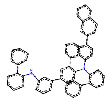 c1ccc(-c2ccccc2Nc2cccc(-c3ccc(N(c4ccc(-c5ccc6ccccc6c5)cc4)c4ccccc4-c4ccccc4)c(-c4ccccc4)c3)c2)cc1